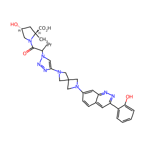 CC(C)C(C(=O)N1C[C@H](O)C[C@@]1(C)C(=O)O)n1cc(N2CC3(CN(c4ccc5cc(-c6ccccc6O)nnc5c4)C3)C2)nn1